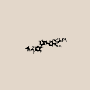 CCC(c1ccc(-c2cc3nccc(Oc4ccc(NC(=O)NC5CC5)cc4F)c3s2)nc1)N(CCOC)C(=O)O